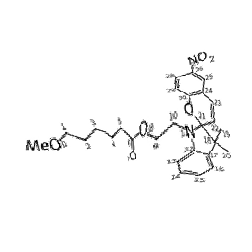 COCCCCCC(=O)OCCN1c2ccccc2C(C)(C)C12C=Cc1cc([N+](=O)[O-])ccc1O2